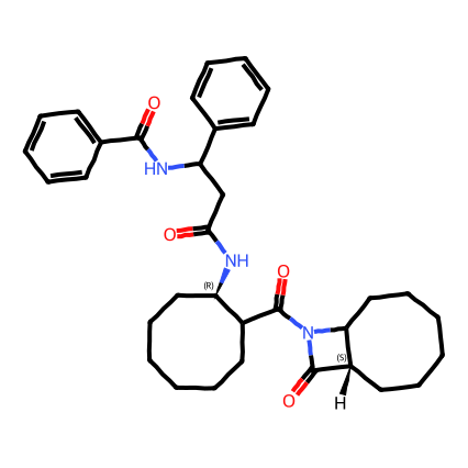 O=C(CC(NC(=O)c1ccccc1)c1ccccc1)N[C@@H]1CCCCCCC1C(=O)N1C(=O)[C@H]2CCCCCCC21